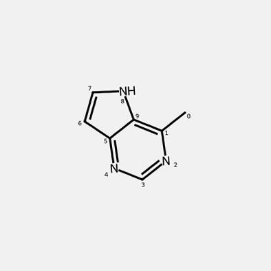 Cc1ncnc2cc[nH]c12